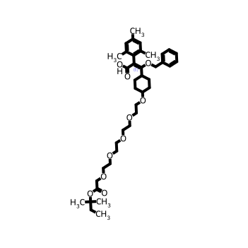 CCC(C)(C)OC(=O)COCCOCCOCCOCCOC1CCC(/C(OCc2ccccc2)=C(\C(=O)O)c2c(C)cc(C)cc2C)CC1